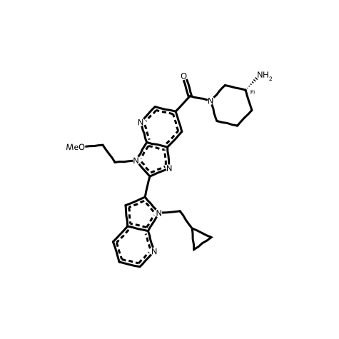 COCCn1c(-c2cc3cccnc3n2CC2CC2)nc2cc(C(=O)N3CCC[C@@H](N)C3)cnc21